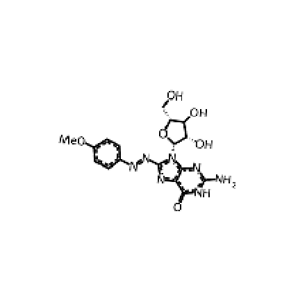 COc1ccc(/N=N/c2nc3c(=O)[nH]c(N)nc3n2[C@@H]2O[C@H](CO)C(O)[C@@H]2O)cc1